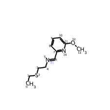 CCSCC/N=C/c1cccc(OC)n1